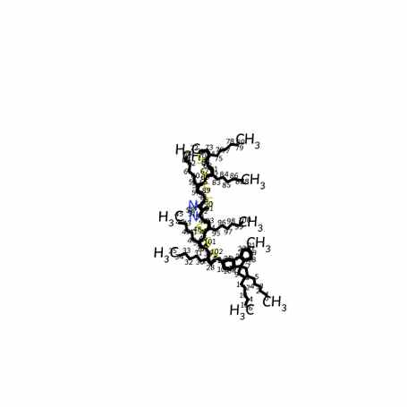 CCCCCCCCC1(CCCCCCCC)c2ccc(C)cc2-c2cc(-c3cc(CCCCCC)c(-c4cc(CCCCCC)c(-c5sc(-c6ncnc7c(-c8cc(CCCCCC)c(-c9sc(-c%10sc(C)cc%10CCCCCC)cc9CCCCCC)s8)scc67)cc5CCCCCC)s4)s3)ccc21